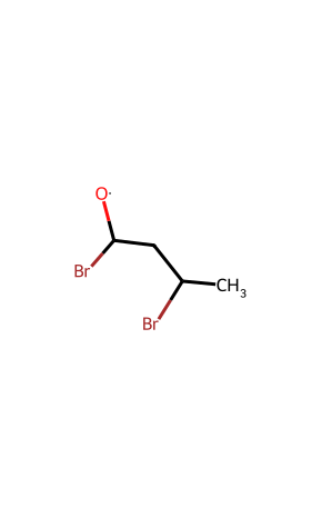 CC(Br)CC([O])Br